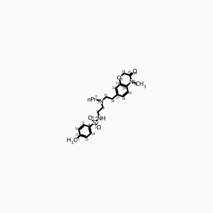 CCCN(CCNS(=O)(=O)c1ccc(C)cc1)CCc1ccc2c(c1)OCC(=O)N2C